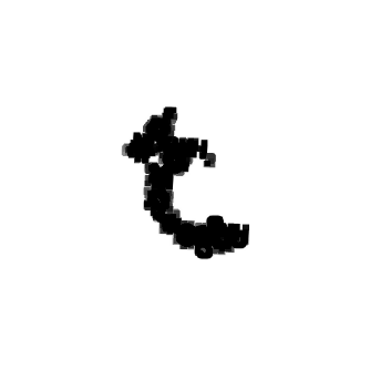 Cc1cn(C2CCN(CC3CN(c4ccc5c(c4)CN(C4CCC(=O)NC4=O)C5=O)C3)CC2)nc1-c1cnc(N)c(O[C@H](C)c2cc(F)ccc2-c2cnn(C)n2)c1